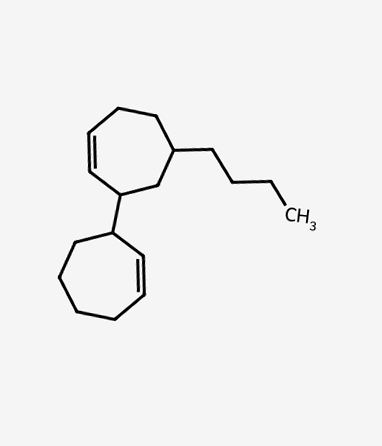 CCCCC1CCC=CC(C2C=CCCCC2)C1